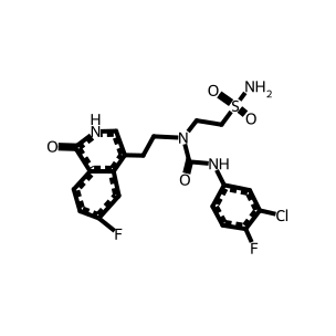 NS(=O)(=O)CCN(CCc1c[nH]c(=O)c2ccc(F)cc12)C(=O)Nc1ccc(F)c(Cl)c1